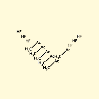 CC(C)=O.CC(C)=O.CC(C)=O.CC(C)=O.CC(C)=O.CC(C)=O.F.F.F.F.F.F